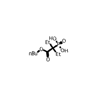 CCCCOC(=O)C(CC)(CC)P(=O)(O)O